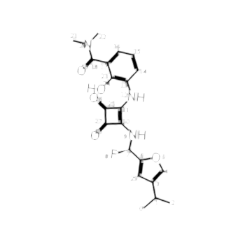 CC(C)c1coc([C@@H](F)Nc2c(Nc3cccc(C(=O)N(C)C)c3O)c(=O)c2=O)c1